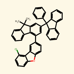 CC1(C)c2ccccc2-c2c(-c3ccc4oc5cccc(Cl)c5c4c3)cc(C3(c4ccccc4)c4ccccc4-c4ccccc43)cc21